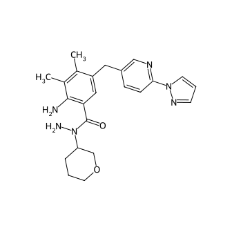 Cc1c(Cc2ccc(-n3cccn3)nc2)cc(C(=O)N(N)C2CCCOC2)c(N)c1C